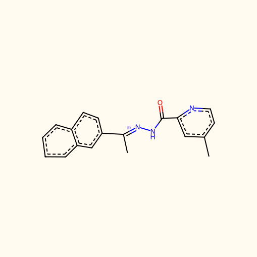 C/C(=N\NC(=O)c1cc(C)ccn1)c1ccc2ccccc2c1